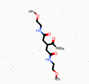 CCCOCCNC(=O)CC(CC(=O)NCCOCCC)C(=O)NC